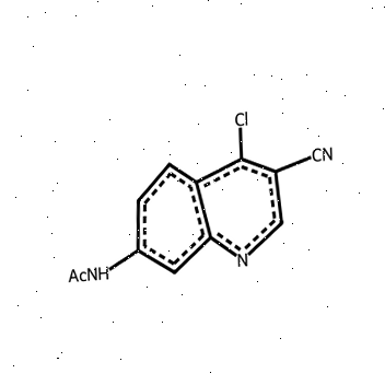 CC(=O)Nc1ccc2c(Cl)c(C#N)cnc2c1